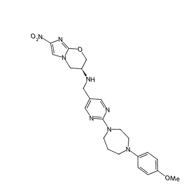 COc1ccc(N2CCCN(c3ncc(CN[C@@H]4COc5nc([N+](=O)[O-])cn5C4)cn3)CC2)cc1